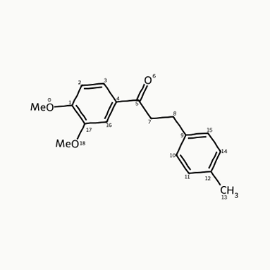 COc1ccc(C(=O)CCc2ccc(C)cc2)cc1OC